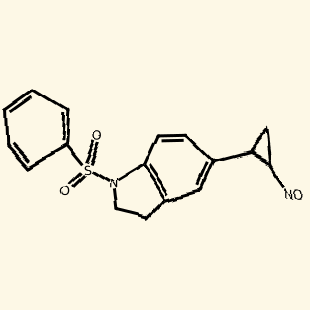 O=NC1CC1c1ccc2c(c1)CCN2S(=O)(=O)c1ccccc1